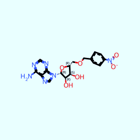 Nc1ncnc2c1ncn2[C@@H]1O[C@H](COCc2ccc([N+](=O)[O-])cc2)[C@@H](O)[C@H]1O